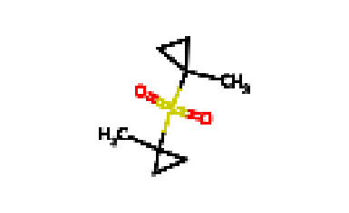 CC1(S(=O)(=O)C2(C)CC2)CC1